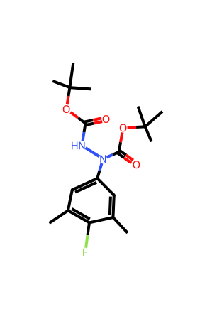 Cc1cc(N(NC(=O)OC(C)(C)C)C(=O)OC(C)(C)C)cc(C)c1F